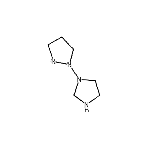 C1C[N]N(N2CCNC2)C1